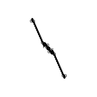 C=CC(=O)OCCCCCCCCCCCCCCCCCCCCOc1ccc(C(=O)Oc2ccc(OC(=O)c3ccc(OCCCCCCCCCCCCCCCCCCCCOC(=O)C=C)cc3F)cc2)c(F)c1